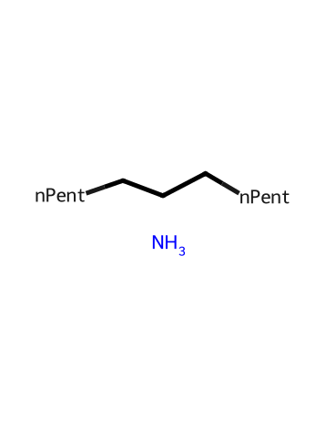 CCCCCCCCCCCCC.N